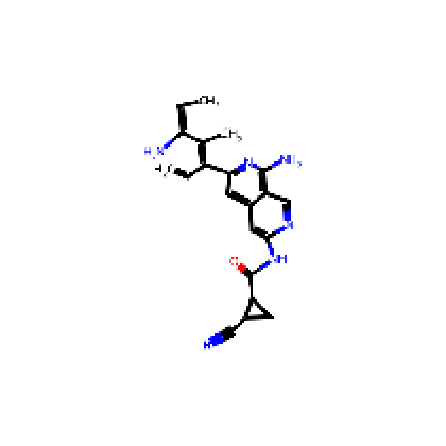 C=C/C(=C(C)\C(N)=C/C)c1cc2cc(NC(=O)[C@H]3CC3C#N)ncc2c(N)n1